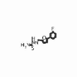 NC(=S)N/N=C/c1ccc(-c2cccc(F)c2)o1